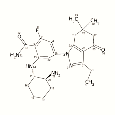 CCc1nn(-c2cc(F)c(C(N)=O)c(N[C@H]3CCCC[C@@H]3N)c2)c2c1C(=O)CC(C)(C)C2